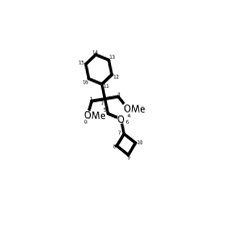 COCC(COC)(COC1CCC1)C1CCCCC1